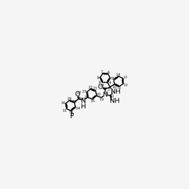 N=C1NC(c2ccccc2)(c2ccccc2)C(=O)N1Cc1cccc(NC(=O)c2cccc(F)c2)c1